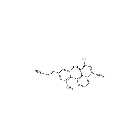 Cc1cc(/C=C/C#N)cc(C)c1-c1cccc2c(N)nc(Cl)nc12